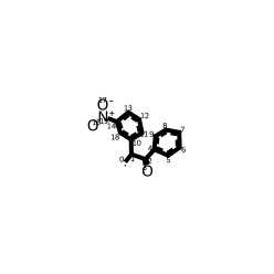 [CH2]C(C(=O)c1ccccc1)c1cccc([N+](=O)[O-])c1